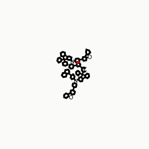 c1ccc(C2(c3cccc(-c4cccc(-c5ccccc5N(c5ccc(-c6ccc7oc8ccccc8c7c6)cc5)c5ccc6c(c5)C(c5ccccc5)(c5ccccc5)c5ccccc5-6)c4)c3)c3ccccc3-c3ccc(N(c4ccc(-c5ccc6oc7ccccc7c6c5)cc4)c4ccc(-c5cccc6ccccc56)cc4)cc32)cc1